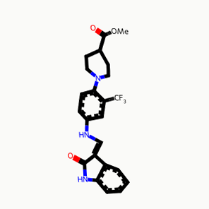 COC(=O)C1CCN(c2ccc(N/C=C3\C(=O)Nc4ccccc43)cc2C(F)(F)F)CC1